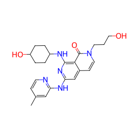 Cc1ccnc(Nc2cc3ccn(CCCO)c(=O)c3c(NC3CCC(O)CC3)n2)c1